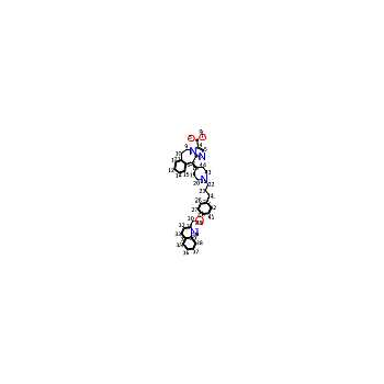 COC(=O)c1cnc2n1CCc1ccccc1C2=C1CCN(CCCc2ccc(OCc3ccc4ccccc4n3)cc2)CC1